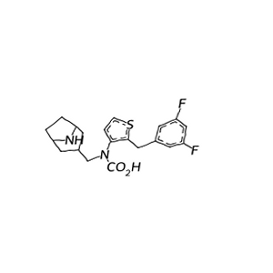 O=C(O)N(CC1CC2CCC(C1)N2)c1ccsc1Cc1cc(F)cc(F)c1